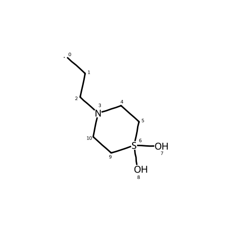 [CH2]CCN1CCS(O)(O)CC1